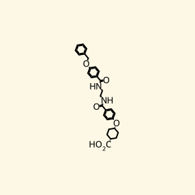 O=C(NCCNC(=O)c1ccc(O[C@H]2CC[C@@H](C(=O)O)CC2)cc1)c1ccc(OCc2ccccc2)cc1